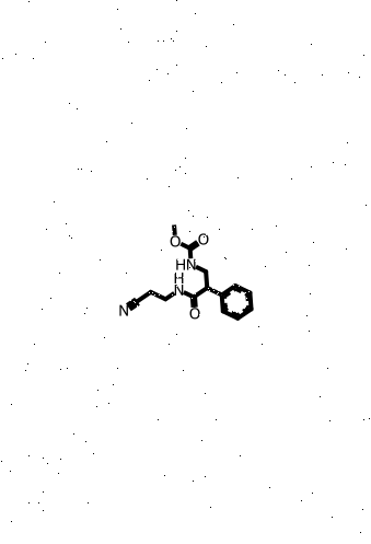 COC(=O)NCC(C(=O)NCCC#N)c1ccccc1